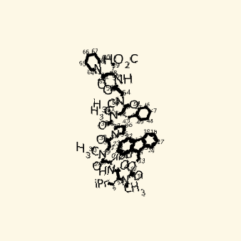 CC[C@H](C)[C@H](NC(=O)[C@H](CC(C)C)N(C)C(=O)OCC1c2ccccc2-c2ccccc21)C(=O)N(C)CC(=O)N1CC[C@H]1C(=O)N(C)[C@@H](CC1CCCCC1)C(=O)N(C)CC(=O)N[C@@H](CC(=O)O)C(=O)N1CCCCC1